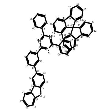 c1ccc(-c2nc(-c3cccc(-c4ccc5sc6ccccc6c5c4)c3)nc(-c3ccccc3-c3cccc4c3C3(c5ccccc5-c5ccccc53)c3ccccc3-4)n2)cc1